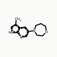 Cc1c[nH]c2ncc(N3CCCOCC3)cc12